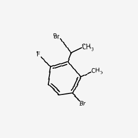 Cc1c(Br)ccc(F)c1C(C)Br